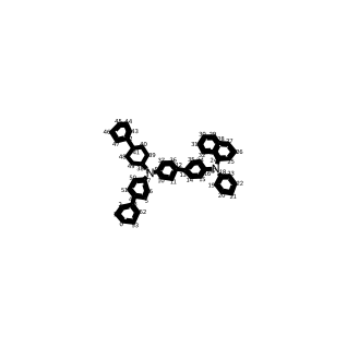 c1ccc(-c2ccc(N(c3ccc(-c4ccc(N(c5ccccc5)c5cccc6ccccc56)cc4)cc3)C3CCC(c4ccccc4)CC3)cc2)cc1